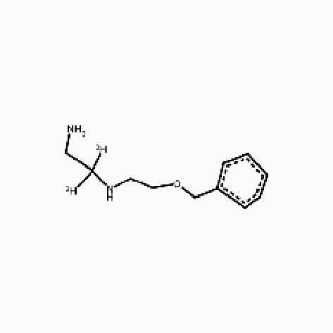 [2H]C([2H])(CN)NCCOCc1ccccc1